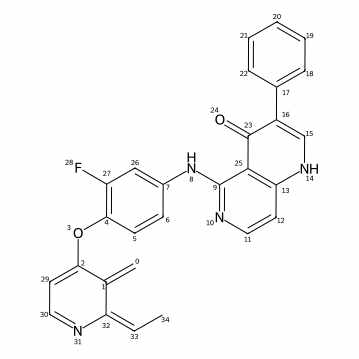 C=c1c(Oc2ccc(Nc3nccc4[nH]cc(-c5ccccc5)c(=O)c34)cc2F)ccn/c1=C/C